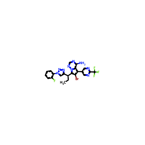 CCC(c1cn(-c2ccccc2F)nn1)c1c(Br)c(-c2cnc(C(F)(F)F)nc2)c2c(N)ncnn12